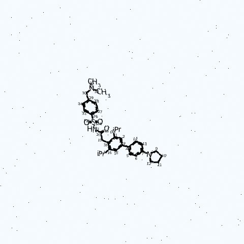 CC(C)c1cc(-c2ccc(N3CCCC3)cc2)cc(C(C)C)c1CC(=O)NS(=O)(=O)c1ccc(CN(C)C)cc1